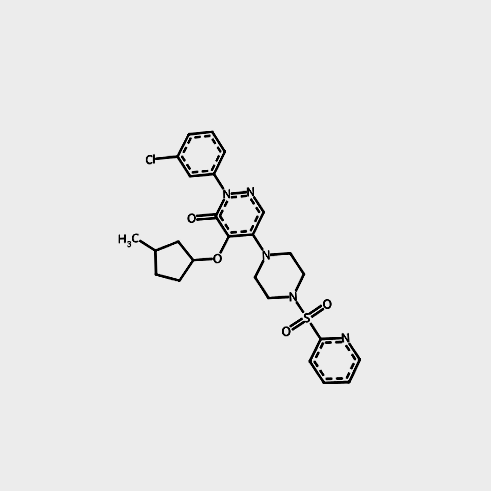 CC1CCC(Oc2c(N3CCN(S(=O)(=O)c4ccccn4)CC3)cnn(-c3cccc(Cl)c3)c2=O)C1